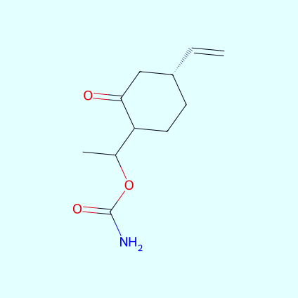 C=C[C@@H]1CCC(C(C)OC(N)=O)C(=O)C1